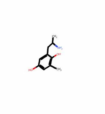 Cc1cc(O)cc(CC(C)N)c1O